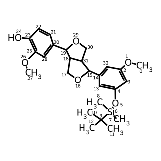 COc1cc(O[Si](C)(C)C(C)(C)C)cc(C2OCC3C(c4ccc(O)c(OC)c4)OCC23)c1